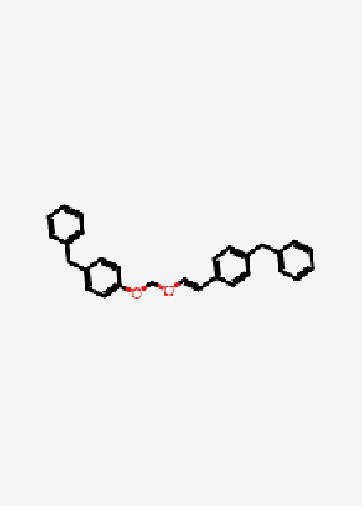 C(=Cc1ccc(Cc2ccccc2)cc1)OCOc1ccc(Cc2ccccc2)cc1